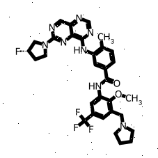 COc1c(CN2CCCC2)cc(C(F)(F)F)cc1NC(=O)c1ccc(C)c(Nc2ncnc3cnc(N4CC[C@H](F)C4)nc23)c1